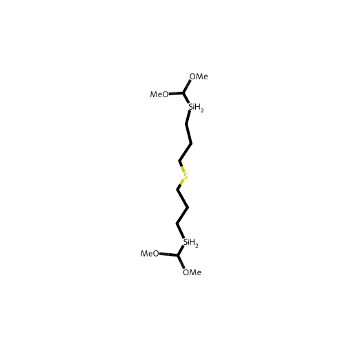 COC(OC)[SiH2]CCCSCCC[SiH2]C(OC)OC